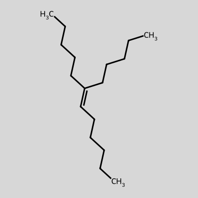 CCCCCC=C(CCCCC)CCCCC